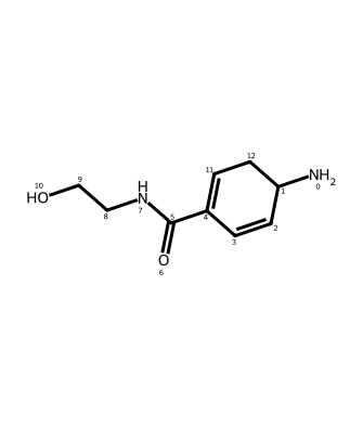 NC1C=CC(C(=O)NCCO)=CC1